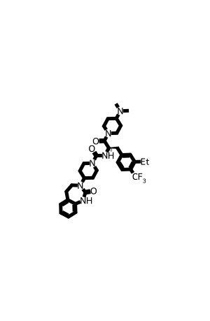 CCc1cc(C[C@@H](NC(=O)N2CCC(N3CCc4ccccc4NC3=O)CC2)C(=O)N2CCC(N(C)C)CC2)ccc1C(F)(F)F